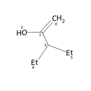 C=C(O)C(CC)CC